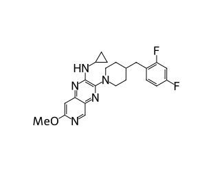 COc1cc2nc(NC3CC3)c(N3CCC(Cc4ccc(F)cc4F)CC3)nc2cn1